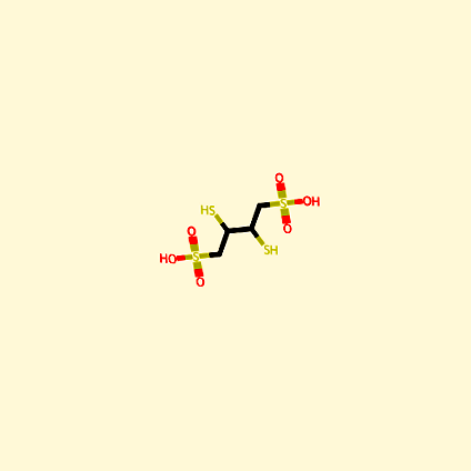 O=S(=O)(O)CC(S)C(S)CS(=O)(=O)O